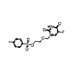 Cc1ccc(S(=O)(=O)OCCOCn2cc(F)c(=O)[nH]c2=O)cc1